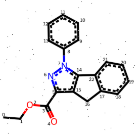 CCOC(=O)c1nn(-c2ccccc2)c2c1Cc1ccccc1-2